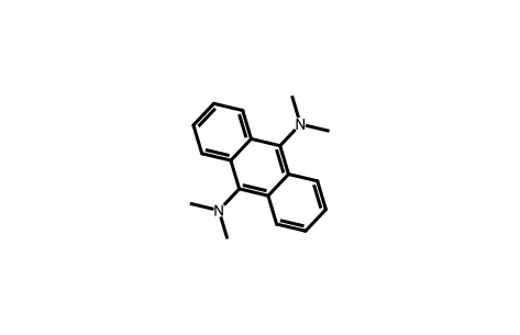 CN(C)c1c2ccccc2c(N(C)C)c2ccccc12